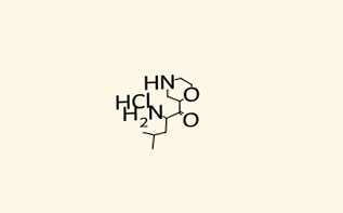 CC(C)CC(N)C(=O)C1CNCCO1.Cl